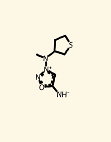 CN(C1CCSC1)[n+]1cc([NH-])on1